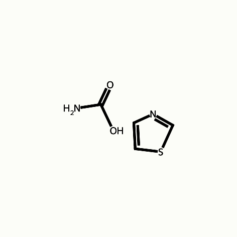 NC(=O)O.c1cscn1